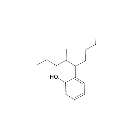 CCCCC(c1ccccc1O)C(C)CCC